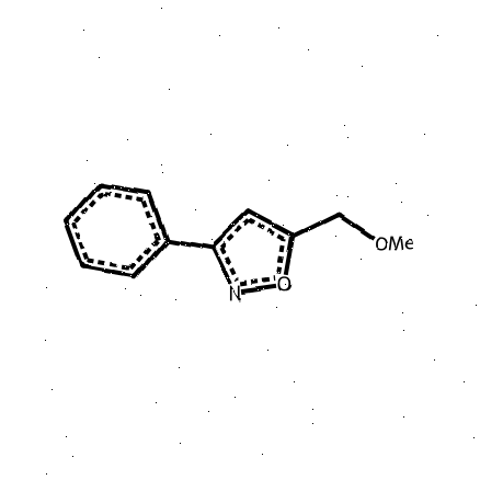 COCc1cc(-c2ccccc2)no1